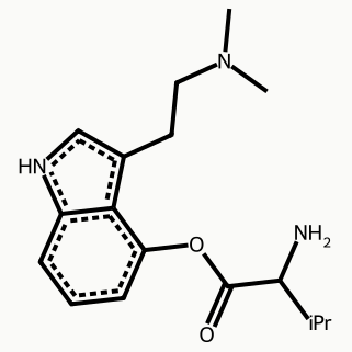 CC(C)C(N)C(=O)Oc1cccc2[nH]cc(CCN(C)C)c12